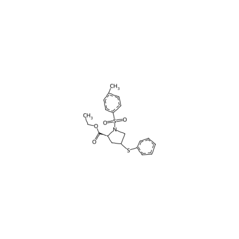 CCOC(=O)[C@@H]1CC(Sc2ccccc2)CN1S(=O)(=O)c1ccc(C)cc1